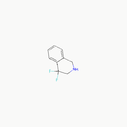 FC1(F)CNCc2ccccc21